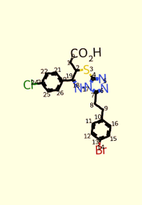 O=C(O)CC1Sc2nnc(CCc3ccc(Br)cc3)n2N=C1c1ccc(Cl)cc1